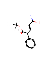 CC(C)(C)OC(=O)C(C=CC(N)O)c1ccccc1